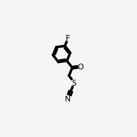 N#CSCC(=O)c1cccc(F)c1